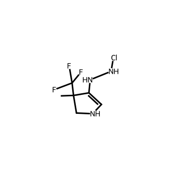 CC1(C(F)(F)F)CNC=C1NNCl